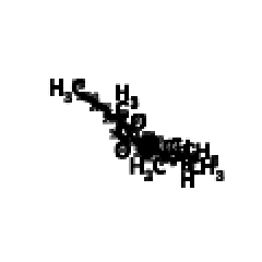 CBC(C)(C)CC(C)(C)c1ccc(N2C(=O)CC(C(C)CCCCCC)C2=O)cc1